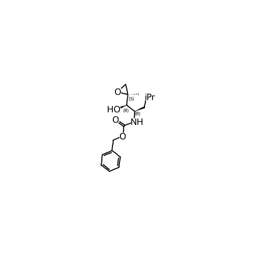 CC(C)C[C@@H](NC(=O)OCc1ccccc1)[C@@H](O)[C@]1(C)CO1